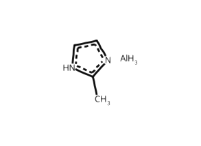 Cc1ncc[nH]1.[AlH3]